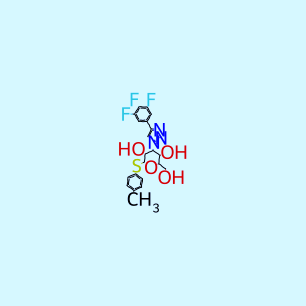 Cc1ccc(SC2OC(CO)C(O)C(n3cc(-c4cc(F)c(F)c(F)c4)nn3)C2O)cc1